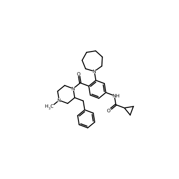 CN1CCN(C(=O)c2ccc(NC(=O)C3CC3)cc2N2CCCCCC2)C(Cc2ccccc2)C1